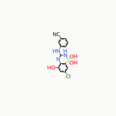 N#Cc1cccc(NC2=Nc3c(O)cc(Cl)cc3S(O)(O)N2)c1